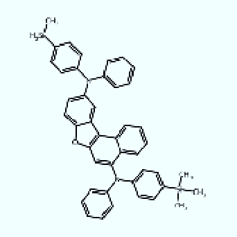 C[SiH2]c1ccc(N(c2ccccc2)c2ccc3oc4cc(N(c5ccccc5)c5ccc([Si](C)(C)C)cc5)c5ccccc5c4c3c2)cc1